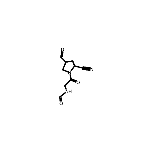 N#CC1CC(C=O)CN1C(=O)CNC=O